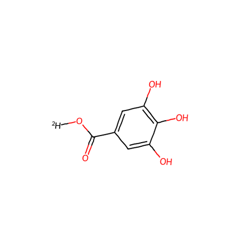 [2H]OC(=O)c1cc(O)c(O)c(O)c1